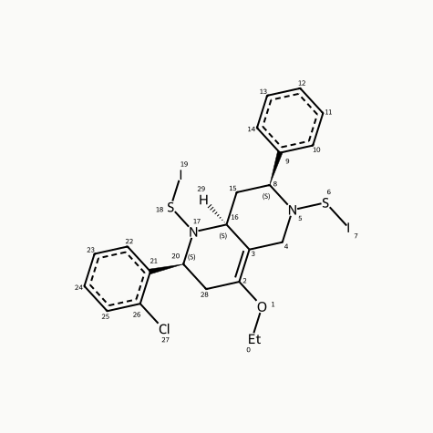 CCOC1=C2CN(SI)[C@H](c3ccccc3)C[C@@H]2N(SI)[C@H](c2ccccc2Cl)C1